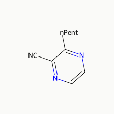 CCCCCc1nccnc1C#N